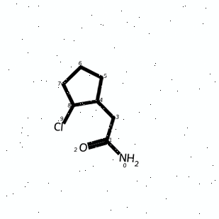 NC(=O)CC1CCCC1Cl